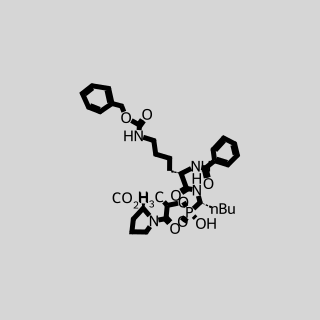 CCCC[C@@H](NC(=O)[C@H](CCCCNC(=O)OCc1ccccc1)NC(=O)c1ccccc1)P(=O)(O)OC(C)C(=O)N1CCC[C@H]1C(=O)O